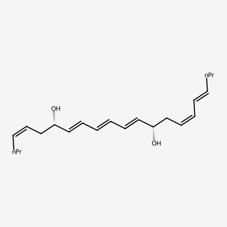 CCC/C=C\C[C@H](O)/C=C/C=C/C=C/[C@@H](O)C/C=C\C=C\CCC